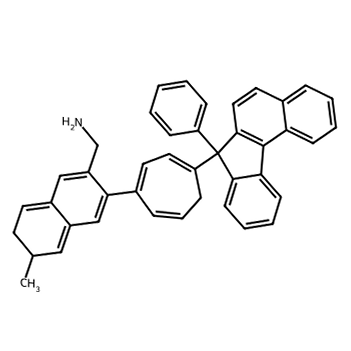 CC1C=c2cc(C3=CC=C(C4(c5ccccc5)c5ccccc5-c5c4ccc4ccccc54)CC=C3)c(CN)cc2=CC1